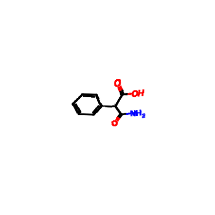 NC(=O)[C](C(=O)O)c1ccccc1